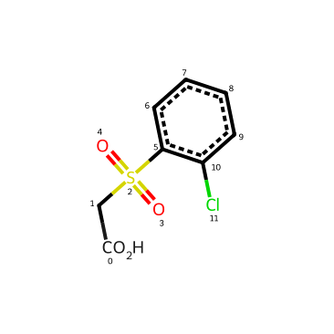 O=C(O)CS(=O)(=O)c1ccccc1Cl